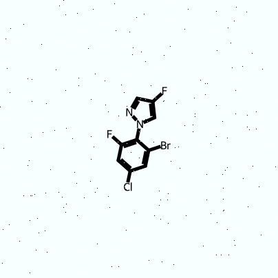 Fc1cnn(-c2c(F)cc(Cl)cc2Br)c1